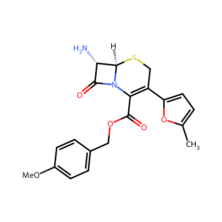 COc1ccc(COC(=O)C2=C(c3ccc(C)o3)CS[C@@H]3[C@@H](N)C(=O)N23)cc1